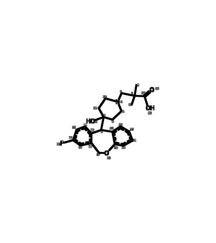 CC(C)(CN1CCC(O)(C2c3ccc(F)cc3COc3ccccc32)CC1)C(=O)O